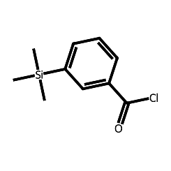 C[Si](C)(C)c1cccc(C(=O)Cl)c1